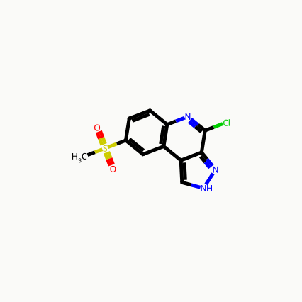 CS(=O)(=O)c1ccc2nc(Cl)c3n[nH]cc3c2c1